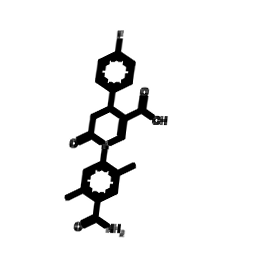 Cc1cc(N2C=C(C(=O)O)C(c3ccc(F)cc3)CC2=O)c(C)cc1C(N)=O